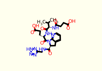 CC(C)[C@H](NC(=O)CCC(=O)O)C(=O)N[C@@H](CCC(=O)O)C(=O)N1c2ncccc2C[C@H]1C(=O)NCc1nn[nH]n1